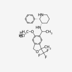 COc1cc2c(cc1C(C)N[C@H]1CCCN[C@H]1c1ccccc1)C(C)(C(F)(F)F)OC2.Cl.Cl